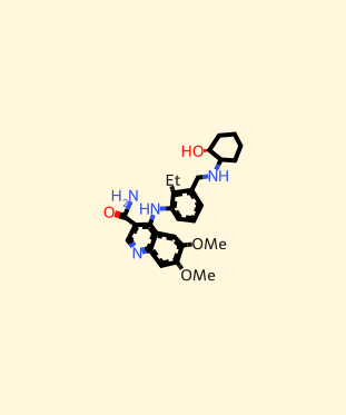 CCc1c(CNC2CCCC[C@@H]2O)cccc1Nc1c(C(N)=O)cnc2cc(OC)c(OC)cc12